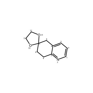 c1cnc2c(c1)CC1(CC2)OCCO1